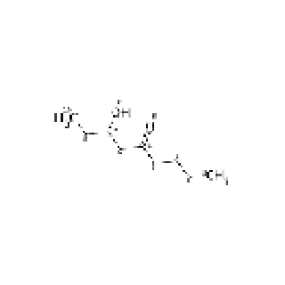 CCCCC(=O)CC(O)CC